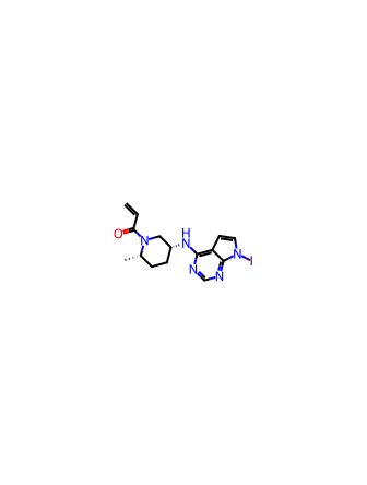 C=CC(=O)N1C[C@H](Nc2ncnc3c2ccn3I)CC[C@@H]1C